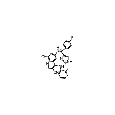 N#Cc1cnc2c(Cl)cc(N[C@@H](c3ccc(F)cc3)c3c[nH]nn3)cc2c1Nc1cccnc1F